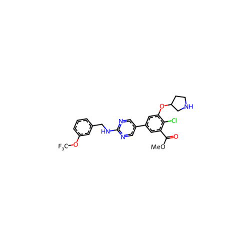 COC(=O)c1cc(-c2cnc(NCc3cccc(OC(F)(F)F)c3)nc2)cc(OC2CCNC2)c1Cl